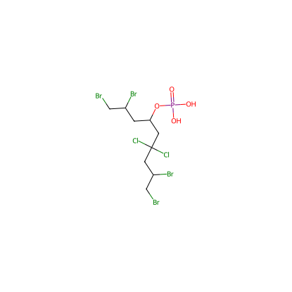 O=P(O)(O)OC(CC(Br)CBr)CC(Cl)(Cl)CC(Br)CBr